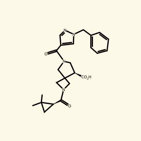 CC1(C)C[C@@H]1C(=O)N1CC2(CN(C(=O)c3cnn(Cc4ccccc4)c3)C[C@H]2C(=O)O)C1